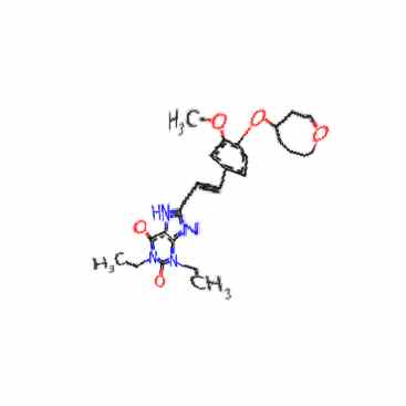 CCn1c(=O)c2[nH]c(/C=C/c3ccc(OC4CCOCC4)c(OC)c3)nc2n(CC)c1=O